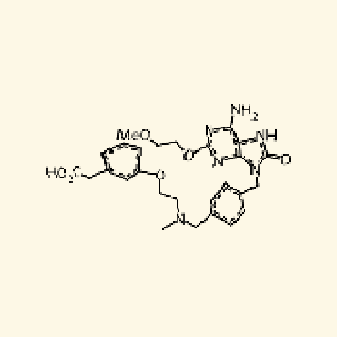 COCCOc1nc(N)c2[nH]c(=O)n(Cc3ccc(CN(C)CCOc4cccc(CC(=O)O)c4)cc3)c2n1